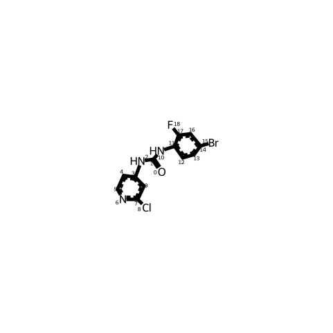 O=C(Nc1ccnc(Cl)c1)Nc1ccc(Br)cc1F